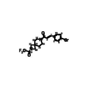 O=C(/C=C/c1ccc(Br)cc1)N1CCC2(CC1)CN(C(=O)C(F)(F)F)C2